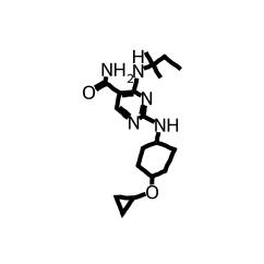 CCC(C)(C)Nc1nc(NC2CCC(OC3CC3)CC2)ncc1C(N)=O